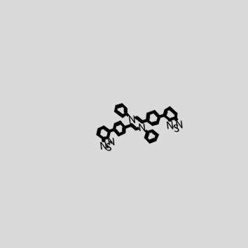 C1=C(c2ccc(-c3cccc4nsnc34)cc2)N(c2ccccc2)C=C(c2ccc(-c3cccc4nsnc34)cc2)N1c1ccccc1